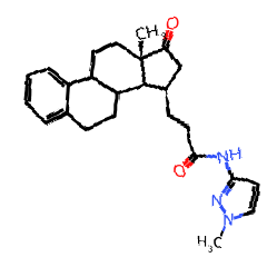 Cn1ccc(NC(=O)CC[C@@H]2CC(=O)[C@@]3(C)CCC4c5ccccc5CCC4C23)n1